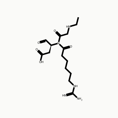 CCNCC(=O)N(C(=O)CCCCCNC(=N)N)[C@H]([C]=O)CC(=O)O